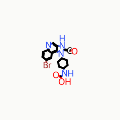 O=C=C1Nc2cnc3ccc(Br)cc3c2N1[C@H]1CC[C@H](NC(=O)O)CC1